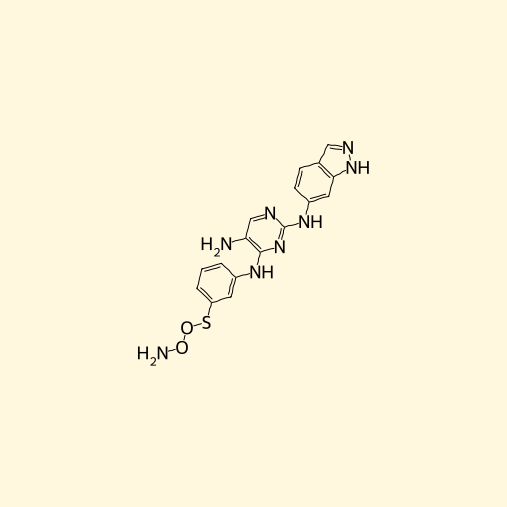 NOOSc1cccc(Nc2nc(Nc3ccc4cn[nH]c4c3)ncc2N)c1